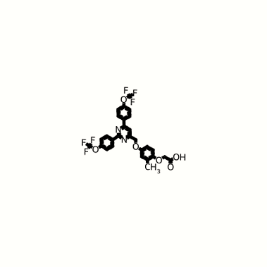 Cc1cc(OCc2cc(-c3ccc(OC(F)(F)F)cc3)nc(-c3ccc(OC(F)(F)F)cc3)n2)ccc1OCC(=O)O